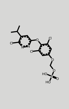 CC(C)c1cc(Oc2c(Cl)cc(OCOP(=O)(O)O)cc2Cl)nnc1Cl